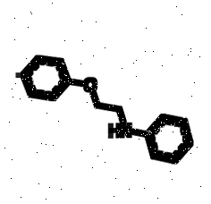 [c]1ccc(OCCNc2ccccc2)cc1